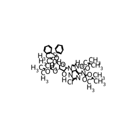 CC(C)(C)OC(=O)O[C@H]1[C@@H](O)[C@H](n2cnc3c(N(C(=O)OC(C)(C)C)C(=O)OC(C)(C)C)nc(Cl)nc32)O[C@@H]1CO[Si](c1ccccc1)(c1ccccc1)C(C)(C)C